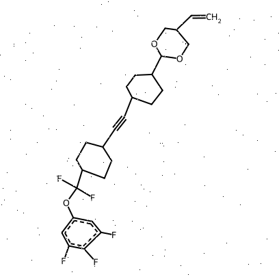 C=CC1COC(C2CCC(C#CC3CCC(C(F)(F)Oc4cc(F)c(F)c(F)c4)CC3)CC2)OC1